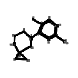 Cc1cnc(Cl)nc1N1CCOC2(CC2)C1